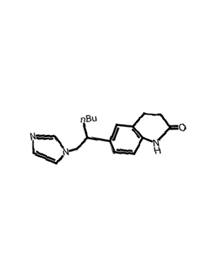 CCCCC(Cn1ccnc1)c1ccc2c(c1)CCC(=O)N2